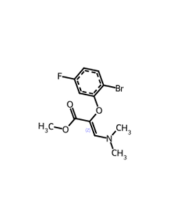 COC(=O)/C(=C/N(C)C)Oc1cc(F)ccc1Br